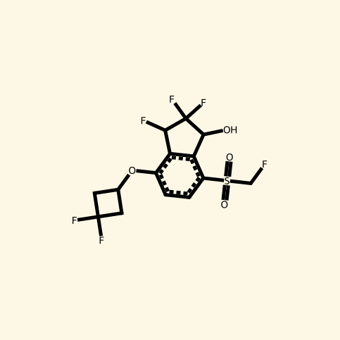 O=S(=O)(CF)c1ccc(OC2CC(F)(F)C2)c2c1C(O)C(F)(F)C2F